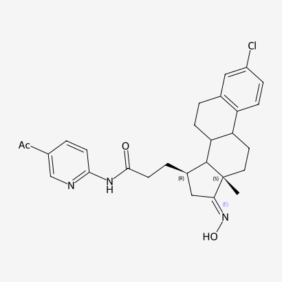 CC(=O)c1ccc(NC(=O)CC[C@@H]2C/C(=N\O)[C@@]3(C)CCC4c5ccc(Cl)cc5CCC4C23)nc1